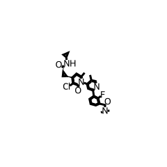 Cc1cnc(-c2cccc(C(=O)N(C)C)c2F)cc1-n1c(C)cc([C@H]2C[C@@H]2C(=O)NC2CC2)c(Cl)c1=O